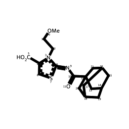 COCCn1c(C(=O)O)csc1=NC(=O)C12CC3CC(CC(C3)C1)C2